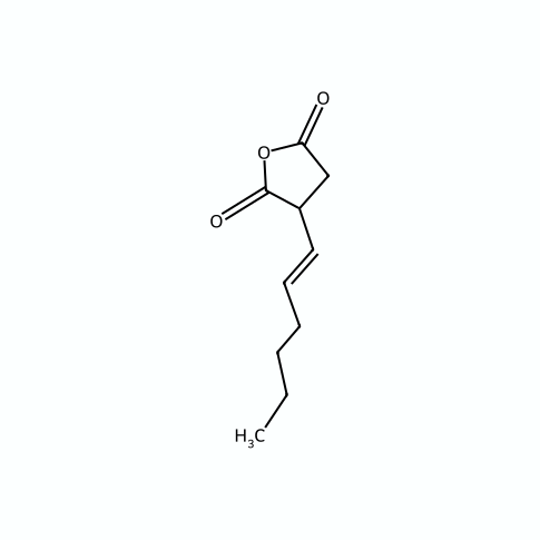 CCCC/C=C/C1CC(=O)OC1=O